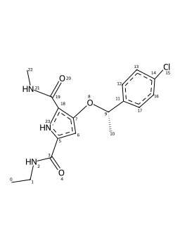 CCNC(=O)c1cc(O[C@@H](C)c2ccc(Cl)cc2)c(C(=O)NC)[nH]1